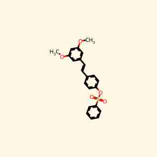 COc1cc(C=Cc2ccc(OS(=O)(=O)c3ccccc3)cc2)cc(OC)c1